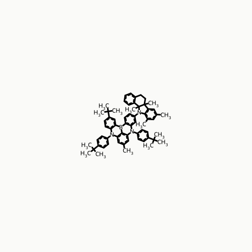 Cc1cc2c3c(c1)N(c1ccc(C(C)(C)C)cc1)c1cc(N4c5c(C)cc(C)cc5C5(C)CCc6ccccc6C45C)ccc1B3c1cc(C(C)(C)C)ccc1N2c1ccc(C(C)(C)C)cc1